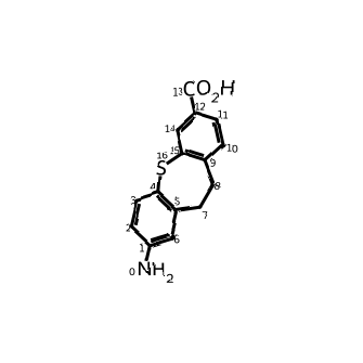 Nc1ccc2c(c1)CCc1ccc(C(=O)O)cc1S2